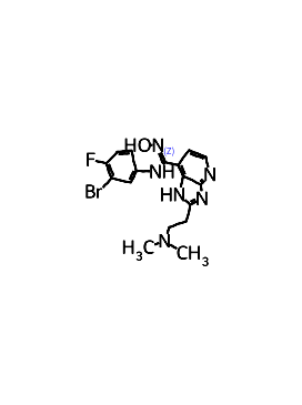 CN(C)CCc1nc2nccc(/C(=N/O)Nc3ccc(F)c(Br)c3)c2[nH]1